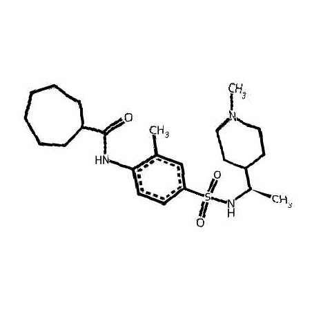 Cc1cc(S(=O)(=O)N[C@H](C)C2CCN(C)CC2)ccc1NC(=O)C1CCCCCC1